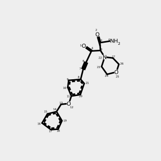 NC(=O)C(C(=O)C#Cc1ccc(OCc2ccccc2)cc1)N1CCOCC1